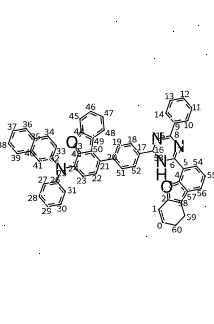 C1=Cc2oc3c(C4=NC(c5ccccc5)=NC(c5ccc(-c6ccc(N(c7ccccc7)c7ccc8ccccc8c7)c7oc8ccccc8c67)cc5)N4)cccc3c2CC1